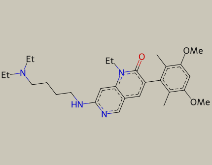 CCN(CC)CCCCNc1cc2c(cn1)cc(-c1c(C)c(OC)cc(OC)c1C)c(=O)n2CC